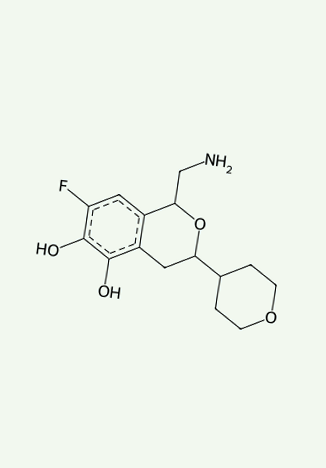 NCC1OC(C2CCOCC2)Cc2c1cc(F)c(O)c2O